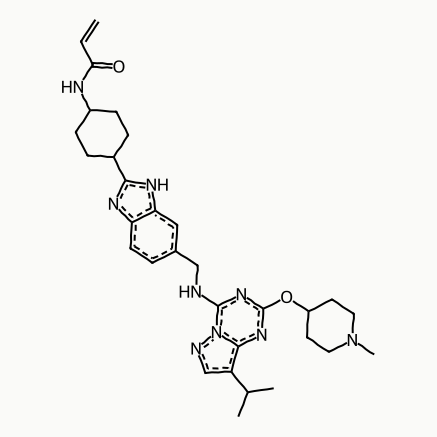 C=CC(=O)NC1CCC(c2nc3ccc(CNc4nc(OC5CCN(C)CC5)nc5c(C(C)C)cnn45)cc3[nH]2)CC1